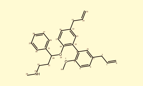 C=CCc1ccc(OC)c(-c2cc(CC=C)ccc2OC(CCNC)c2ccccc2)c1